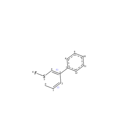 C/C=C\C(=C/SF)c1ccccc1